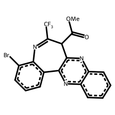 COC(=O)C1C(C(F)(F)F)=Nc2c(Br)cccc2-c2nc3ccccc3nc21